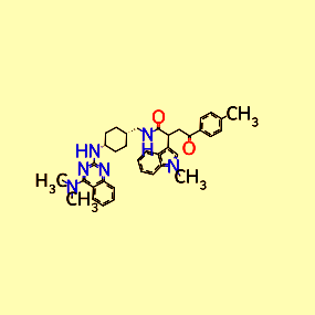 Cc1ccc(C(=O)CC(C(=O)NC[C@H]2CC[C@@H](Nc3nc(N(C)C)c4ccccc4n3)CC2)c2cn(C)c3ccccc23)cc1